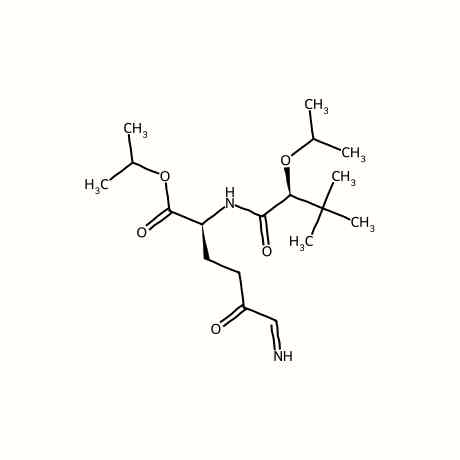 CC(C)OC(=O)[C@H](CCC(=O)C=N)NC(=O)[C@@H](OC(C)C)C(C)(C)C